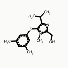 Cc1cc(C)cc(Sc2c(C(C)C)nc(CO)n2C)c1